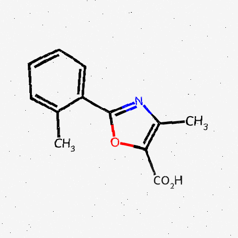 Cc1ccccc1-c1nc(C)c(C(=O)O)o1